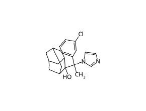 CC(c1cccc(Cl)c1)(n1ccnc1)C1(O)C2CC3CC(C2)CC1C3